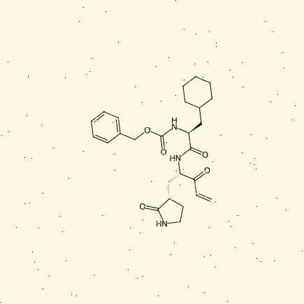 C=CC(=O)[C@H](C[C@@H]1CCNC1=O)NC(=O)[C@H](CC1CCCCC1)NC(=O)OCc1ccccc1